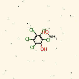 O[SiH3].Oc1c(Cl)c(Cl)c(Cl)c(Cl)c1Cl